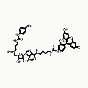 CC(C)N(CCCNC(=O)Nc1ccc(C(C)(C)C)cc1)C[C@H]1O[C@@H](n2cnc3c(NCCCCNC(=S)Nc4ccc(-c5c6ccc(=O)cc-6oc6cc(O)ccc56)c(C(=O)O)c4)ncnc32)[C@H](O)[C@@H]1O